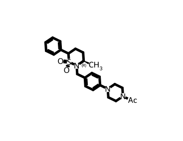 CC(=O)N1CCN(c2ccc(CN3[C@H](C)CCC(c4ccccc4)S3(=O)=O)cc2)CC1